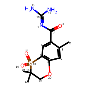 Cc1cc2c(cc1C(=O)N=C(N)N)S(=O)(=O)C(C)(C)CO2